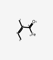 CC=C(C)[C](=O)[Fe]